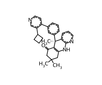 CC1(C)CC(=O)C2=C(C1)Nc1ncccc1[C@]2(C)c1cccc(-c2ccncc2C2CCC2)c1